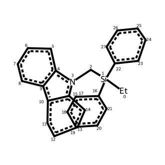 CC[Si](Cn1c2ccccc2c2ccccc21)(c1ccccc1)c1ccccc1